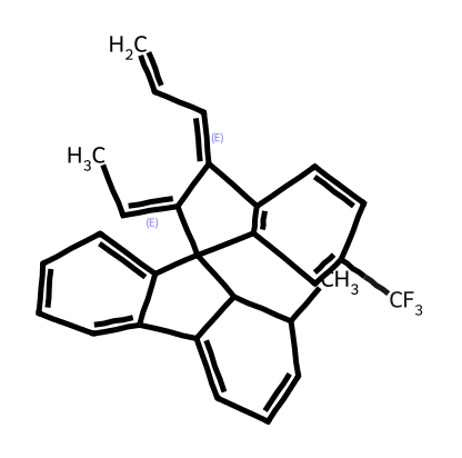 C=C/C=C1\C(=C/C)C2(c3ccccc3C3=CC=CC(C)C32)c2cc(C(F)(F)F)ccc21